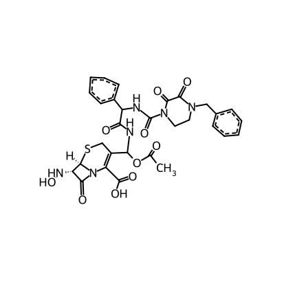 CC(=O)OC(NC(=O)C(NC(=O)N1CCN(Cc2ccccc2)C(=O)C1=O)c1ccccc1)C1=C(C(=O)O)N2C(=O)[C@H](NO)[C@H]2SC1